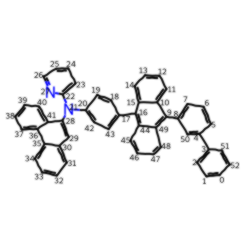 c1ccc(-c2cccc(-c3c4ccccc4c(-c4ccc(N(c5ccccn5)c5cc6ccccc6c6ccccc56)cc4)c4ccccc34)c2)cc1